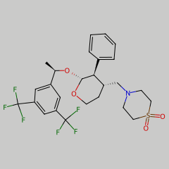 C[C@@H](O[C@H]1OCC[C@@H](CN2CCS(=O)(=O)CC2)[C@@H]1c1ccccc1)c1cc(C(F)(F)F)cc(C(F)(F)F)c1